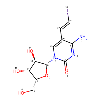 Nc1nc(=O)n([C@@H]2O[C@H](CO)[C@H](O)[C@H]2O)cc1/C=C/I